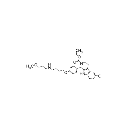 CCOC(=O)N1CCc2c([nH]c3ccc(Cl)cc23)C1c1ccc(OCCCCNCCCOC)cc1